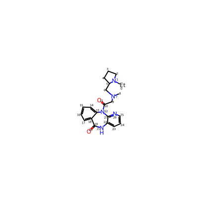 CCN1CCCC1CN(C)CC(=O)N1c2ccccc2C(=O)Nc2cccnc21